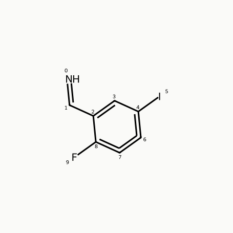 N=CC1=CC(I)=C=C=C1F